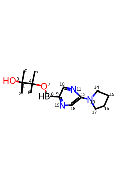 CC(C)(O)C(C)(C)OBc1cnc(N2CCCC2)cn1